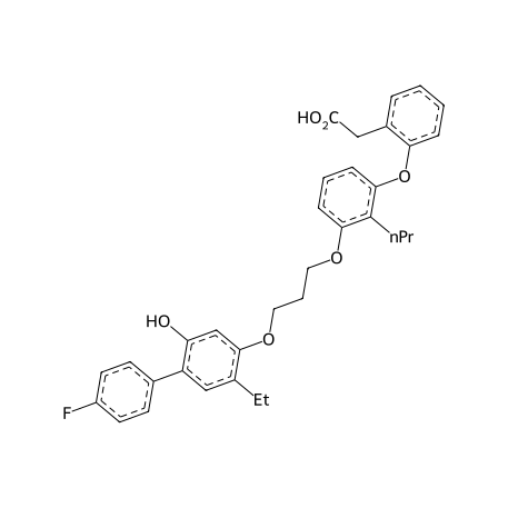 CCCc1c(OCCCOc2cc(O)c(-c3ccc(F)cc3)cc2CC)cccc1Oc1ccccc1CC(=O)O